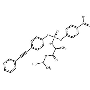 CC(C)OC(=O)[C@H](C)NP(=O)(Oc1ccc(C#Cc2ccccc2)cc1)Oc1ccc([N+](=O)[O-])cc1